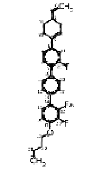 C=CC1CC=C(c2ccc(-c3ccc(-c4ccc(OCCCC)c(F)c4F)cc3)c(F)c2)CC1